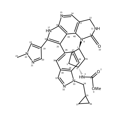 COC(=O)N[C@@H]1CC[C@@H](N2C(=O)NCc3cnc4[nH]c(-c5cnn(C)c5)c(-c5ccc6c(cnn6CC6CC6)c5)c4c32)C1